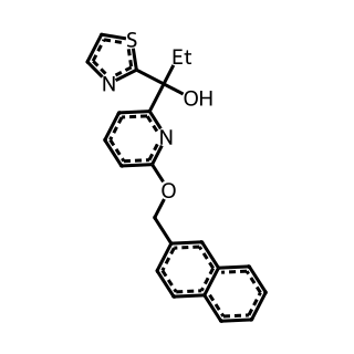 CCC(O)(c1cccc(OCc2ccc3ccccc3c2)n1)c1nccs1